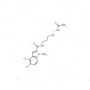 CC(=O)NSNCCCNC(=O)c1cc2c(Cl)c(Cl)ccc2n1C